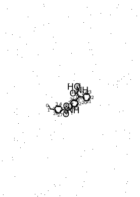 CCc1ccc(S(=O)(=O)Nc2ccc(C(C(=O)NO)c3ccccc3)cc2)cc1